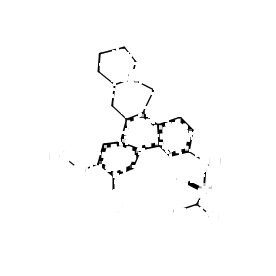 COc1cc2c3c(c4ccc(NS(=O)(=O)C(C)C)cc4c2cc1OC)CN1CCCCC1C3